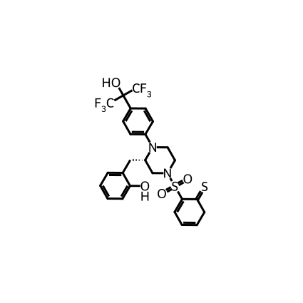 O=S(=O)(C1=CC=CCC1=S)N1CCN(c2ccc(C(O)(C(F)(F)F)C(F)(F)F)cc2)[C@@H](Cc2ccccc2O)C1